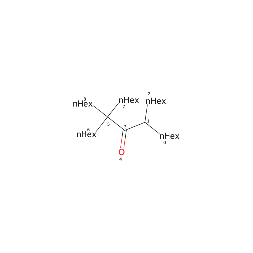 CCCCCCC(CCCCCC)C(=O)C(CCCCCC)(CCCCCC)CCCCCC